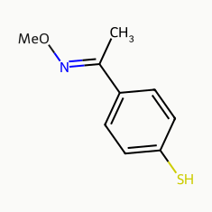 CON=C(C)c1ccc(S)cc1